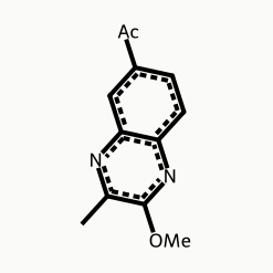 COc1nc2ccc(C(C)=O)cc2nc1C